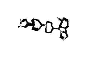 Cn1cc(-c2ccc(N3CCC(C4c5c(F)cccc5-c5cncn54)CC3)cc2)cn1